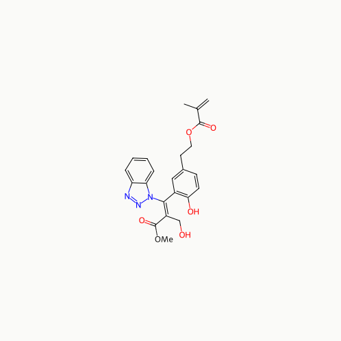 C=C(C)C(=O)OCCc1ccc(O)c(C(=C(CO)C(=O)OC)n2nnc3ccccc32)c1